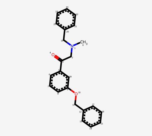 CN(CC(=O)c1cccc(OCc2ccccc2)c1)Cc1ccccc1